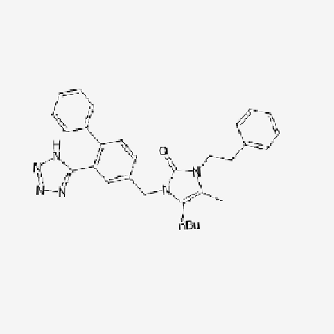 CCCCc1c(C)n(CCc2ccccc2)c(=O)n1Cc1ccc(-c2ccccc2)c(-c2nnn[nH]2)c1